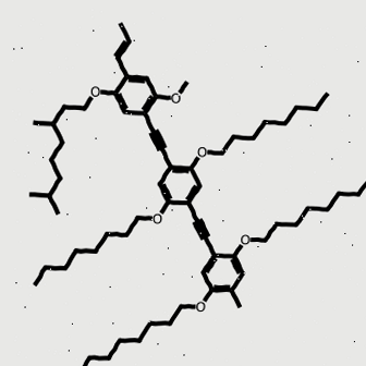 CC=Cc1cc(OC)c(C#Cc2cc(OCCCCCCCC)c(C#Cc3cc(OCCCCCCCC)c(C)cc3OCCCCCCCC)cc2OCCCCCCCC)cc1OCCC(C)CCCC(C)C